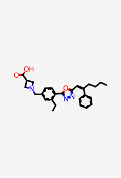 CCCCC(=Cc1nnc(-c2ccc(CN3CC(C(=O)O)C3)cc2CC)o1)c1ccccc1